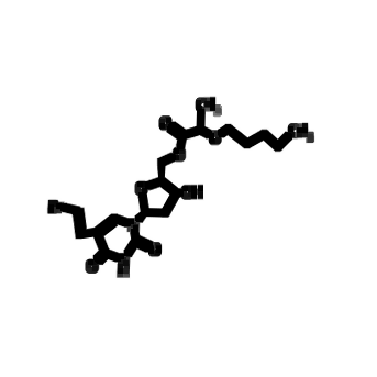 CCCCCOC(C)C(=O)OC[C@@H]1O[C@H](n2cc(/C=C/Br)c(=O)[nH]c2=O)CC1O